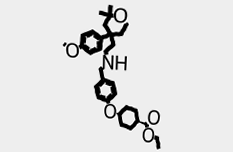 CCOC(=O)[C@H]1CC[C@H](Oc2ccc(CNCCC3(c4ccc(OC)cc4)CCOC(C)(C)C3)cc2)CC1